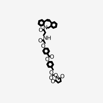 O=C(COc1ccc(C(=O)Oc2ccc(COC(=O)ON3C(=O)CCC3=O)cc2)cc1)NCCC(=O)N1Cc2ccccc2C#Cc2ccccc21